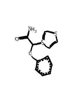 NC(=O)C(Oc1ccccc1)S1=CSC=C1